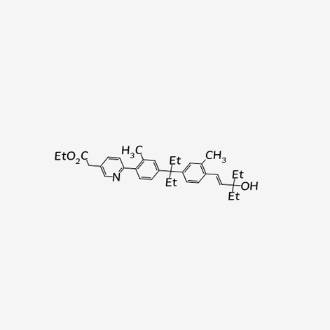 CCOC(=O)Cc1ccc(-c2ccc(C(CC)(CC)c3ccc(/C=C/C(O)(CC)CC)c(C)c3)cc2C)nc1